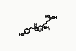 NC(CCCCB(O)O)(CCNCCc1ccc(O)cc1)C(=O)O